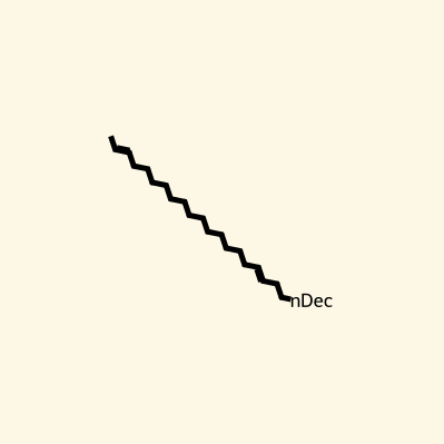 CC=CCCCCCCCCCCCCCC=CCCCCCCCCCCCC